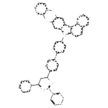 C1=CC(C2=NC(c3ccc(-c4ccc(-n5c6cc7c(cc6c6c8ccccc8ccc65)Sc5ccccc5S7)cc4)cc3)CC(c3ccccc3)=N2)=CCC1